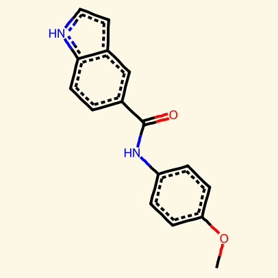 COc1ccc(NC(=O)c2ccc3[nH]ccc3c2)cc1